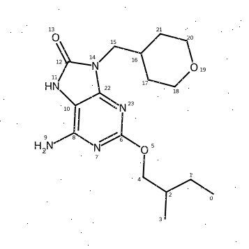 CCC(C)COc1nc(N)c2[nH]c(=O)n(CC3CCOCC3)c2n1